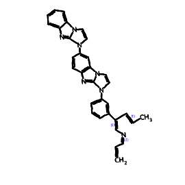 C=C\C=N/C=C(\C=C\C)c1cccc(-n2ccn3c4cc(-n5ccn6c7ccccc7nc56)ccc4nc23)c1